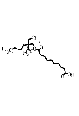 CCCCC(CC)(CC)COC(=O)CCCCCCCCC(=O)O